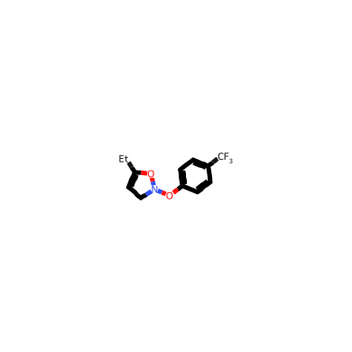 CCC1=CCN(Oc2ccc(C(F)(F)F)cc2)O1